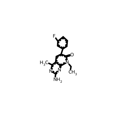 CCn1c(=O)c(-c2cccc(F)c2)cc2c(C)nc(N)nc21